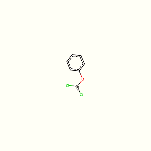 Cl[SiH](Cl)Oc1ccccc1